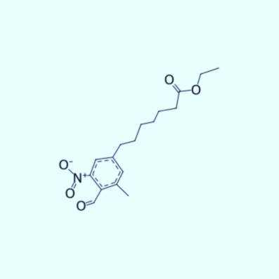 CCOC(=O)CCCCCCc1cc(C)c(C=O)c([N+](=O)[O-])c1